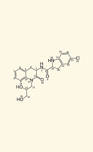 O=C(NC1Cc2ccccc2N(CC(O)CO)C1=O)C1Cc2cc(Cl)ccc2N1